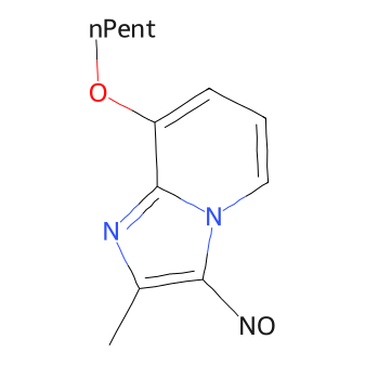 CCCCCOc1cccn2c(N=O)c(C)nc12